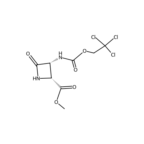 COC(=O)[C@@H]1NC(=O)[C@@H]1NC(=O)OCC(Cl)(Cl)Cl